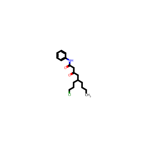 CCCCC(CCCCl)CC(=O)CC(=O)Nc1ccccc1